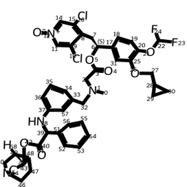 CN(CC(=O)O[C@@H](Cc1c(Cl)c[n+]([O-])cc1Cl)c1ccc(OC(F)F)c(OCC2CC2)c1)Cc1cccc(NC(C(=O)O[C@H]2CN3CCC2CC3)c2ccccc2)c1